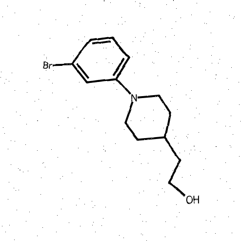 OCCC1CCN(c2cccc(Br)c2)CC1